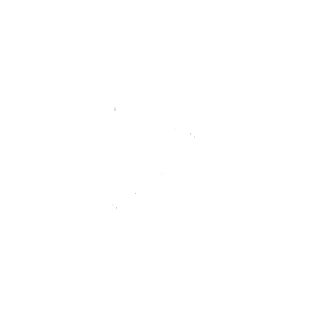 N#CC(F)(F)c1cc2cc[nH]c(=O)c2c2cc(Br)ccc12